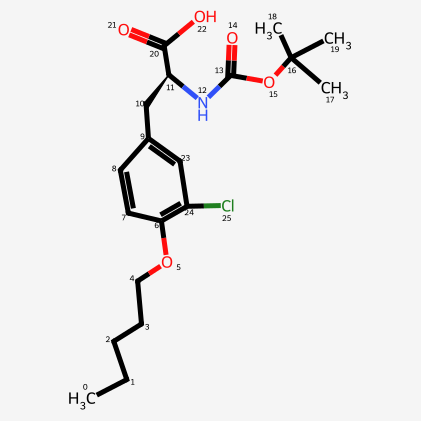 CCCCCOc1ccc(C[C@H](NC(=O)OC(C)(C)C)C(=O)O)cc1Cl